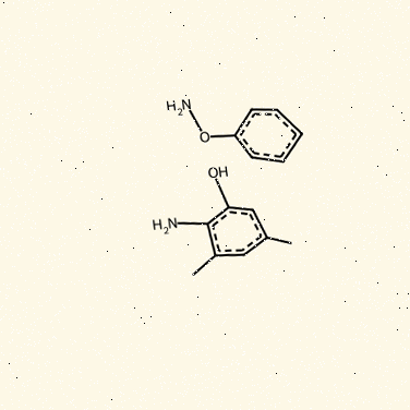 Cc1cc(C)c(N)c(O)c1.NOc1ccccc1